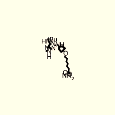 CC(C)(C)Nc1nc(Nc2ccc(OCCCCCCC(=O)ON)cc2)nc2[nH]cnc12